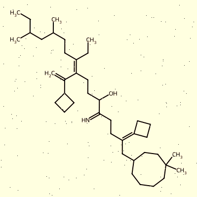 C=C(/C(CCC(O)C(=N)CCC(CC1CCCCC(C)(C)CC1)=C1CCC1)=C(/CC)CCC(C)CC(C)CC)C1CCC1